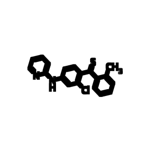 Cc1ccccc1C(=S)c1ccc(Nc2ccccn2)cc1Cl